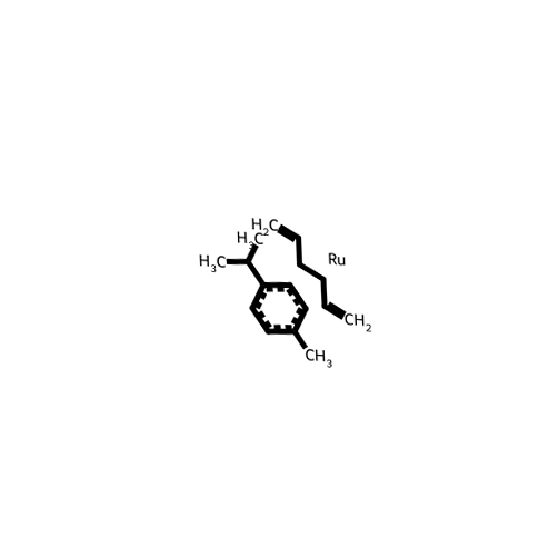 C=CCCC=C.Cc1ccc(C(C)C)cc1.[Ru]